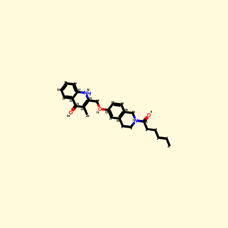 CCCCCC(=O)N1CCc2cc(OCc3[nH]c4ccccc4c(=O)c3C)ccc2C1